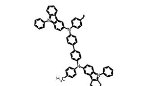 Cc1ccc(N(c2ccc(-c3ccc(N(c4ccc(F)cc4)c4ccc5c(c4)c4ccccc4n5-c4ccccc4)cc3)cc2)c2ccc3c(c2)c2c(n3-c3ccccc3)CCC=C2)cc1